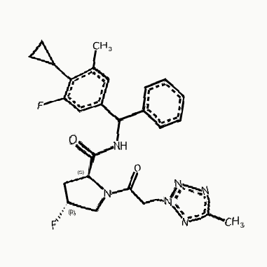 Cc1nnn(CC(=O)N2C[C@H](F)C[C@H]2C(=O)NC(c2ccccc2)c2cc(C)c(C3CC3)c(F)c2)n1